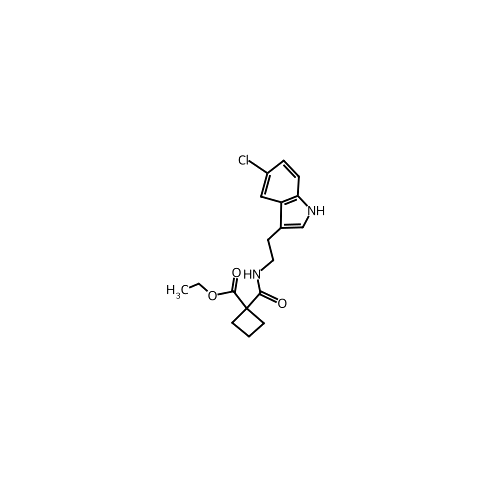 CCOC(=O)C1(C(=O)NCCc2c[nH]c3ccc(Cl)cc23)CCC1